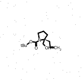 C=CC[C@]1(CO)CCCN1C(=O)OC(C)(C)C